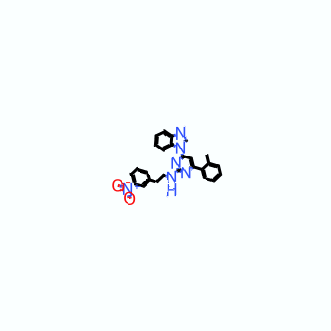 Cc1ccccc1-c1cc(-n2cnc3ccccc32)nc(NCCc2cccc([N+](=O)[O-])c2)n1